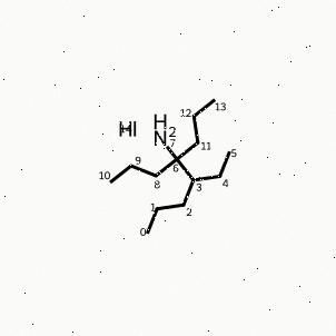 CCCC(CC)C(N)(CCC)CCC.I